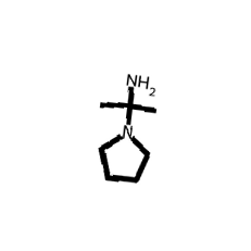 CC(C)(N)N1CCCC1